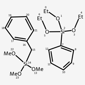 CCO[Si](OCC)(OCC)c1ccccc1.CO[Si](Cc1ccccc1)(OC)OC